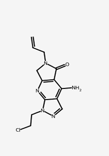 C=CCN1Cc2nc3c(cnn3CCCl)c(N)c2C1=O